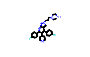 Fc1ccc(-c2nc3nn(CCCN4CCNCC4)cc3c(-c3ccc(F)cc3)c2-c2ccncc2)cc1